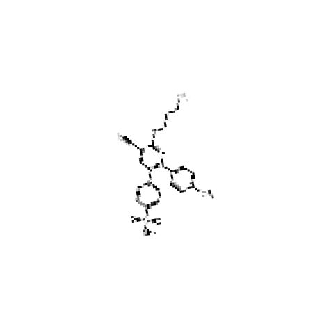 CCCCOc1nc(-c2ccc(C)cc2)c(-c2ccc(S(N)(=O)=O)cc2)cc1C#N